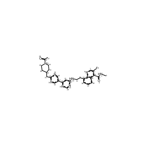 CNC(=O)c1c(F)cnc2c(CCNc3cc(-c4cnc(CC5CCN(C(C)=O)CC5)nc4)ncn3)cccc12